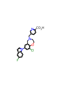 O=C(O)c1ccc(CN2CCOc3c(Cl)cc(-n4ccc5cc(F)ccc54)cc3C2)cn1